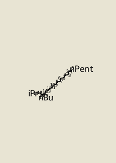 [CH2]CCCCC=CCCCCCCCCCCCCCC(CCC[CH2])CC(C)C